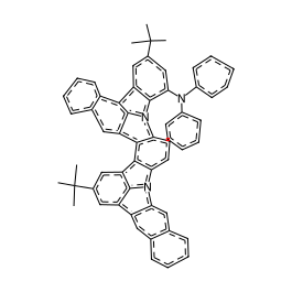 CC(C)(C)c1cc(N(c2ccccc2)c2ccccc2)c2c(c1)c1c3ccccc3cc3c4c5c6cc(C(C)(C)C)cc7c8cc9ccccc9cc8n(c5ccc4n2c31)c76